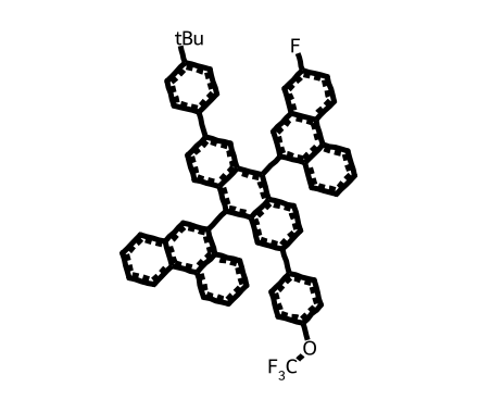 CC(C)(C)c1ccc(-c2ccc3c(-c4cc5ccccc5c5ccccc45)c4cc(-c5ccc(OC(F)(F)F)cc5)ccc4c(-c4cc5cc(F)ccc5c5ccccc45)c3c2)cc1